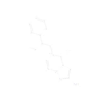 Nc1cc2c([nH]1)N=CN(CC(CO)c1ccccc1)C2O